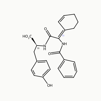 O=C(N[C@@H](Cc1ccc(O)cc1)C(=O)O)/C(NC(=O)c1ccccc1)=C1\C=CCCC1